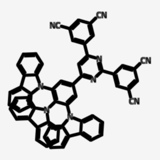 N#Cc1cc(C#N)cc(-c2cc(-c3cc(-n4c5ccccc5c5ccccc54)c(-n4c5ccccc5c5ccccc54)c(-n4c5ccccc5c5ccccc54)c3)nc(-c3cc(C#N)cc(C#N)c3)n2)c1